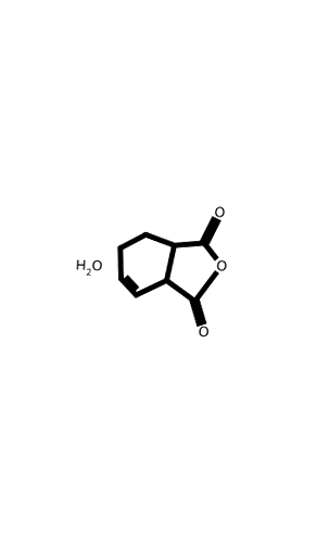 O.O=C1OC(=O)C2CCC=CC12